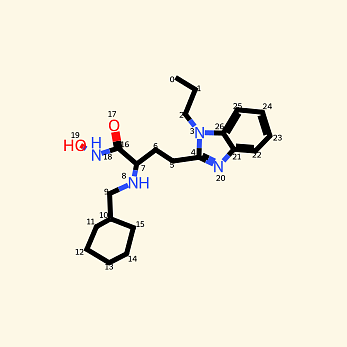 CCCn1c(CCC(NCC2CCCCC2)C(=O)NO)nc2ccccc21